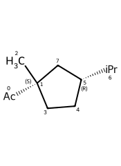 CC(=O)[C@@]1(C)CC[C@@H](C(C)C)C1